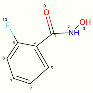 O=C(NO)c1ccccc1F